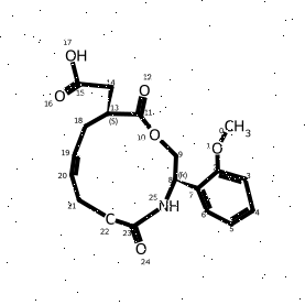 COc1ccccc1[C@@H]1COC(=O)[C@H](CC(=O)O)CC=CCCC(=O)N1